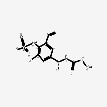 C=Cc1cc([C@@H](C)NC(=O)OC(C)(C)C)cc(F)c1NS(C)(=O)=O